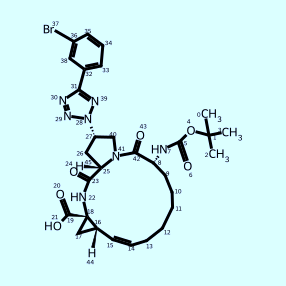 CC(C)(C)OC(=O)N[C@@H]1CCCCC/C=C\[C@@H]2C[C@]2(C(=O)O)NC(=O)[C@@H]2C[C@H](n3nnc(-c4cccc(Br)c4)n3)CN2C1=O